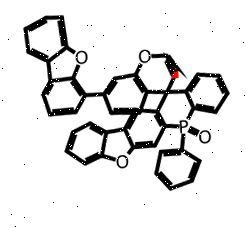 O=P1(c2ccccc2)c2ccccc2C2(c3ccccc3Oc3cc(-c4cccc5c4oc4ccccc45)ccc32)c2cc3c(cc21)oc1ccccc13